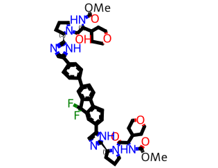 COC(=O)NC(C(=O)N1CCC[C@H]1c1ncc(-c2ccc3c(c2)C(F)(F)c2cc(-c4ccc(-c5cnc([C@@H]6CCCN6C(O)[C@@H](NC(=O)OC)C6CCOCC6)[nH]5)cc4)ccc2-3)[nH]1)C1CCOCC1